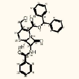 O=C(OC(c1ccccc1)c1ccccc1)C1=C(CCl)CS[C@@H]2C(NC(=O)c3ccccc3)C(=O)N12